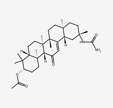 CC(=O)O[C@H]1CC[C@]2(C)[C@H]3C(=O)C=C4[C@H]5C[C@@](C)(NC(N)=O)CC[C@]5(C)CC[C@@]4(C)[C@]3(C)CC[C@H]2C1(C)C